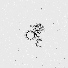 CCCCCCCCCCCCOC(=O)CCN1C(=O)C2(CC(C)(C)N(C)C(C)(C)C2)OC12CCCCCCCCCCC2